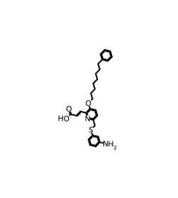 Nc1cccc(SCc2ccc(OCCCCCCCCc3ccccc3)c(C=CC(=O)O)n2)c1